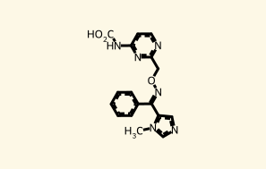 Cn1cncc1C(=NOCc1nccc(NC(=O)O)n1)c1ccccc1